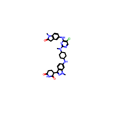 CN1C(=O)Cc2cc(Nc3nc(N(C)C4CCC(Nc5ccc6c(C7CCC(=O)NC7=O)nn(C)c6c5)CC4)ncc3Cl)ccc21